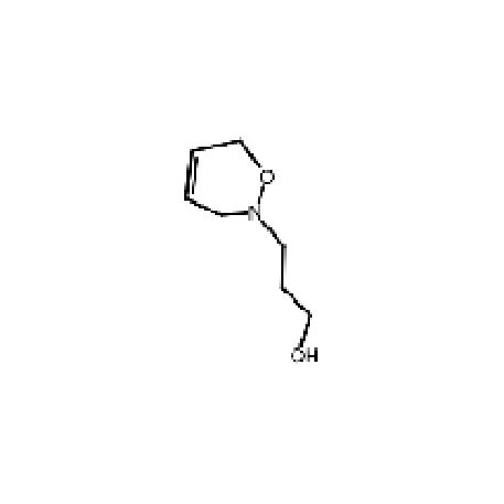 OCCCN1CC=CCO1